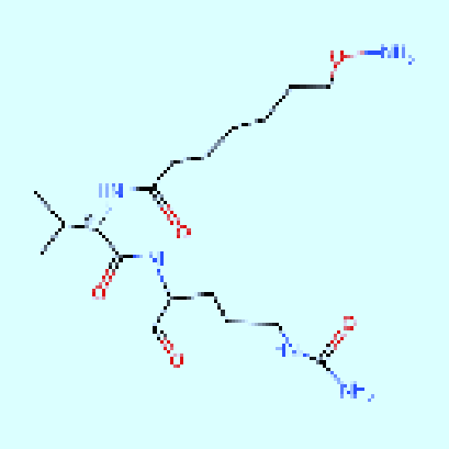 CC(C)[C@H](NC(=O)CCCCCCON)C(=O)NC(C=O)CCCNC(N)=O